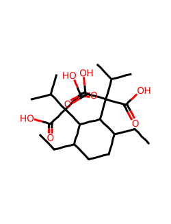 CCC1CCC(CC)C(C(C(=O)O)(C(=O)O)C(C)C)C1C(C(=O)O)(C(=O)O)C(C)C